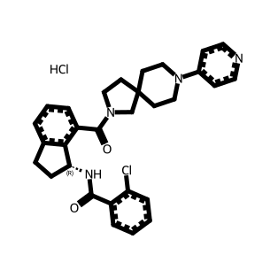 Cl.O=C(N[C@@H]1CCc2cccc(C(=O)N3CCC4(CCN(c5ccncc5)CC4)C3)c21)c1ccccc1Cl